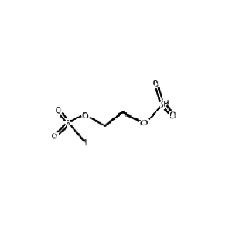 O=[SH](=O)OCCOS(=O)(=O)I